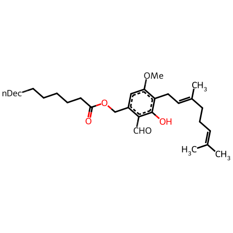 CCCCCCCCCCCCCCCC(=O)OCc1cc(OC)c(C/C=C(\C)CCC=C(C)C)c(O)c1C=O